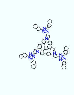 c1ccc(-c2cc(-c3ccccc3-c3ccc(-c4ccc(-c5nc(-c6ccc7c(c6)CCCC7)nc(-c6ccc7c(c6)CCCC7)n5)cn4)cc3)cc(-c3ccccc3-c3ccc(-c4ccc(-c5nc(-c6ccc7c(c6)CCCC7)nc(-c6ccc7c(c6)CCCC7)n5)cn4)cc3)c2)c(-c2ccc(-c3ccc(-c4nc(-c5ccc6c(c5)CCCC6)nc(-c5ccc6c(c5)CCCC6)n4)cn3)cc2)c1